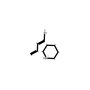 C1CCNCC1.C=CC=CCC